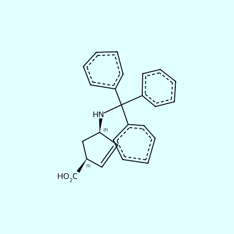 O=C(O)[C@@H]1C=C[C@H](NC(c2ccccc2)(c2ccccc2)c2ccccc2)C1